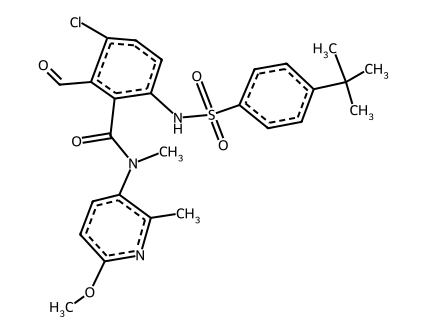 COc1ccc(N(C)C(=O)c2c(NS(=O)(=O)c3ccc(C(C)(C)C)cc3)ccc(Cl)c2C=O)c(C)n1